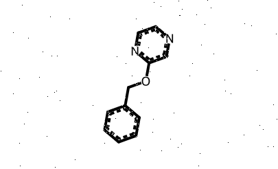 c1ccc(COc2cnccn2)cc1